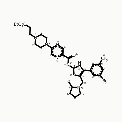 CCOC(=O)CCN1CCN(c2cnc(C(=O)NC3NC(c4cc(Br)cc(C(F)(F)F)c4)=C(CN4CCCC4C)S3)cn2)CC1